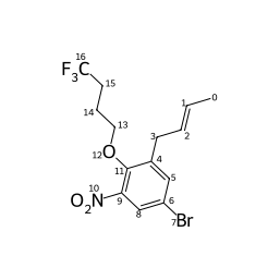 C/C=C/Cc1cc(Br)cc([N+](=O)[O-])c1OCCCC(F)(F)F